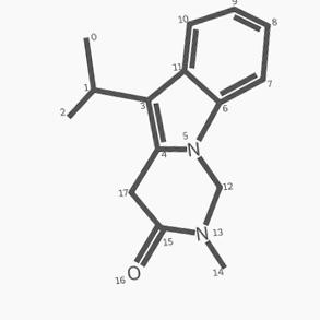 CC(C)c1c2n(c3ccccc13)CN(C)C(=O)C2